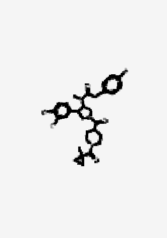 CN(C(=O)Cc1ccc(F)cc1)C1CN(C(=O)C2CCN(C(=O)C3(C)CC3)CC2)CC1c1ccc(Cl)c(Cl)c1